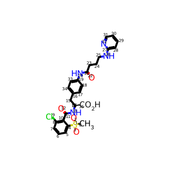 CS(=O)(=O)c1cccc(Cl)c1C(=O)N[C@@H](Cc1ccc(NC(=O)CCCNc2ccccn2)cc1)C(=O)O